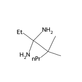 CCCC(C)(C)C(N)(N)CC